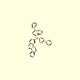 c1ccc(-c2ccc(N(c3ccc4ccc5c6ccccc6ccc5c4c3)c3ccc(-c4ccccc4)c4ccccc34)cc2)cc1